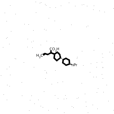 C=CCC(C(=O)O)C1CCC([C@H]2CC[C@H](CCC)CC2)CC1